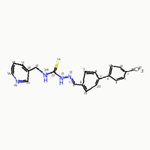 FC(F)(F)c1ccc(-c2ccc(/C=N/NC(=S)NCc3cccnc3)cc2)cc1